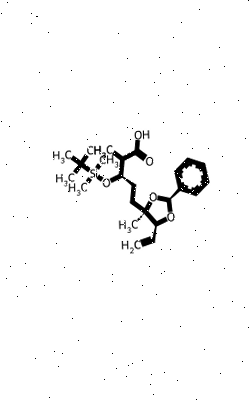 C=C[C@@H]1O[C@H](c2ccccc2)O[C@]1(C)CC[C@@H](O[Si](C)(C)C(C)(C)C)C(C)C(=O)O